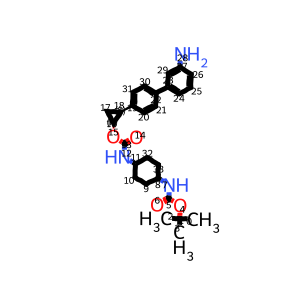 CC(C)(C)OC(=O)NC1CCC(NC(=O)O[C@@H]2C[C@H]2c2ccc(-c3cccc(N)c3)cc2)CC1